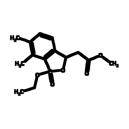 CCOP1(=O)OC(CC(=O)OC)c2ccc(C)c(C)c21